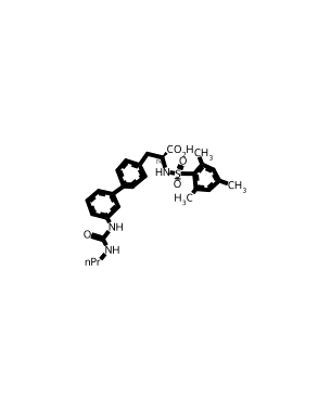 CCCNC(=O)Nc1cccc(-c2ccc(C[C@H](NS(=O)(=O)c3c(C)cc(C)cc3C)C(=O)O)cc2)c1